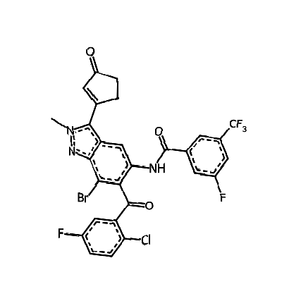 Cn1nc2c(Br)c(C(=O)c3cc(F)ccc3Cl)c(NC(=O)c3cc(F)cc(C(F)(F)F)c3)cc2c1C1=CC(=O)CC1